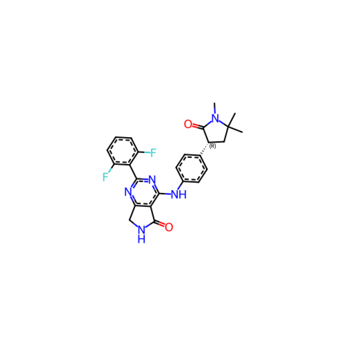 CN1C(=O)[C@@H](c2ccc(Nc3nc(-c4c(F)cccc4F)nc4c3C(=O)NC4)cc2)CC1(C)C